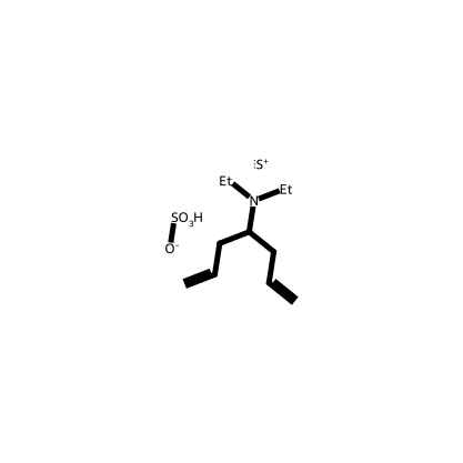 C=CCC(CC=C)N(CC)CC.O=S(=O)([O-])O.[S+]